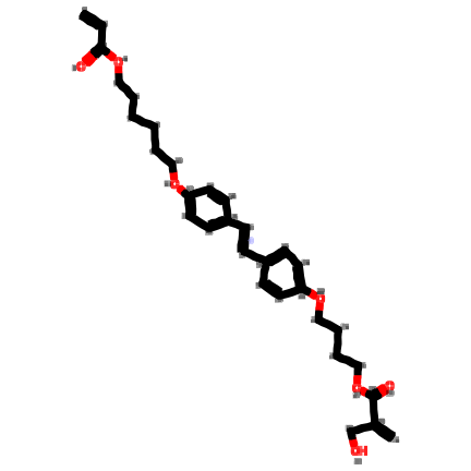 C=CC(=O)OCCCCCCOc1ccc(/C=C/c2ccc(OCCCCOC(=O)C(=C)CO)cc2)cc1